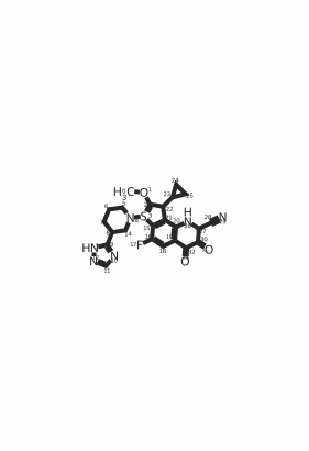 COC1=S(N2CCCC(c3ncn[nH]3)C2)c2c(F)cc3c(c2C1C1CC1)NC(C#N)C(=O)C3=O